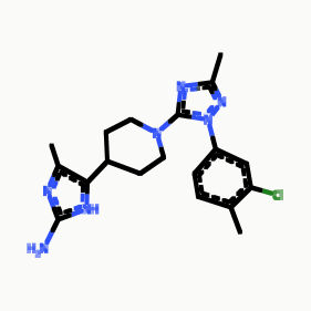 Cc1nc(N2CCC(c3[nH]c(N)nc3C)CC2)n(-c2ccc(C)c(Cl)c2)n1